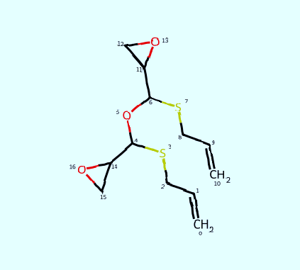 C=CCSC(OC(SCC=C)C1CO1)C1CO1